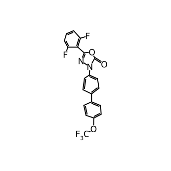 O=c1oc(-c2c(F)cccc2F)nn1-c1ccc(-c2ccc(OC(F)(F)F)cc2)cc1